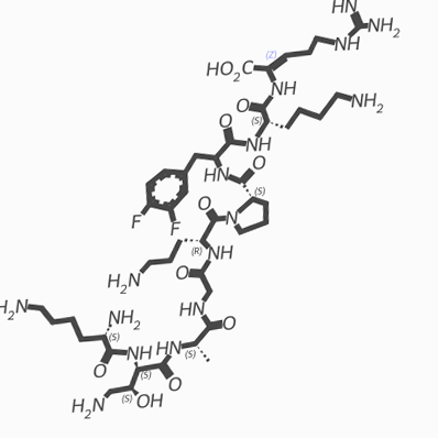 C[C@H](NC(=O)[C@@H](NC(=O)[C@@H](N)CCCCN)[C@@H](O)CN)C(=O)NCC(=O)N[C@H](CCCN)C(=O)N1CCC[C@H]1C(=O)NC(Cc1ccc(F)c(F)c1)C(=O)N[C@@H](CCCCN)C(=O)N/C(=C\CCNC(=N)N)C(=O)O